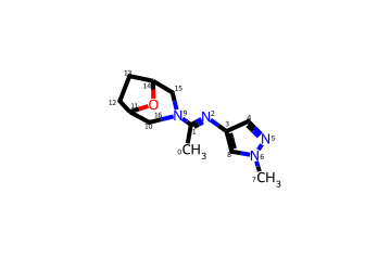 CC(=Nc1cnn(C)c1)N1CC2CCC(C1)O2